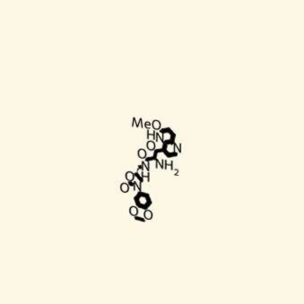 COc1ccc2nccc([C@@H](O)[C@H](N)C(=O)NC[C@@H]3CN(c4ccc5c(c4)OCCO5)C(=O)O3)c2n1